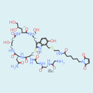 CC[C@H](C)[C@H](NC(=O)CN)C(=O)NCC(=O)N[C@H]1C[S+]([O-])c2[nH]c3c(CSCCNC(=O)CCCCCN4C(=O)C=CC4=O)c(O)ccc3c2C[C@@H](CO)NC(=O)[C@H]([C@@H](C)[C@@H](O)CO)NC(=O)C[C@@H](O)CNC(=O)[C@H](CC(N)=O)NC1=O